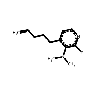 C=CCCCc1ccnc(F)c1N(C)C